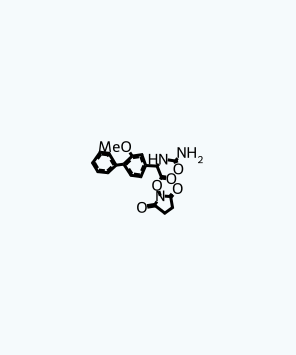 COc1cc(C(NC(N)=O)C(=O)ON2C(=O)CCC2=O)ccc1-c1ccccc1